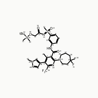 Cc1c(C(=O)Nc2cccc(S(C)(=O)=NC(=O)CO[Si](C)(C)C(C)(C)C)c2)c(N2CCCC(F)(F)CC2)nc(C(F)(F)F)c1-c1cnn(C)c1